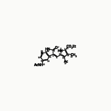 CCOC(=O)c1[nH]c(C=C2C(=O)Nc3ncc(NC(C)=O)cc32)c(C(C)=O)c1C